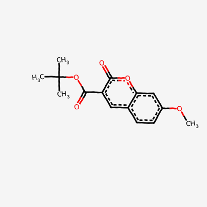 COc1ccc2cc(C(=O)OC(C)(C)C)c(=O)oc2c1